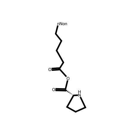 CCCCCCCCCCCCCC(=O)OC(=O)[C@H]1CCCN1